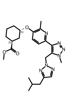 COC(=O)[C@H]1CCC[C@H](Oc2ccc(-c3nnn(C)c3Cn3ncc(CC(C)C)n3)nc2C)C1